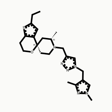 CCc1cc2c(s1)CCO[C@@]21CCN(Cc2cn(Cc3cn(C)nc3C)nn2)[C@@H](C)C1